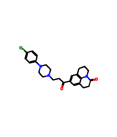 O=C(CCN1CCN(c2ccc(Cl)cc2)CC1)c1cc2c3c(c1)CCC(=O)N3CCC2